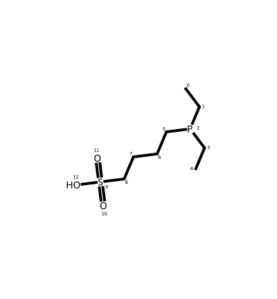 CCP(CC)CCCCS(=O)(=O)O